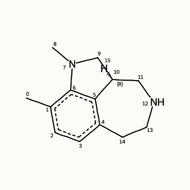 Cc1ccc2c3c1N(C)C[C@H]3CNCC2